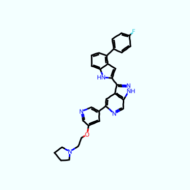 Fc1ccc(-c2cccc3[nH]c(-c4n[nH]c5cnc(-c6cncc(OCCN7CCCC7)c6)cc45)cc23)cc1